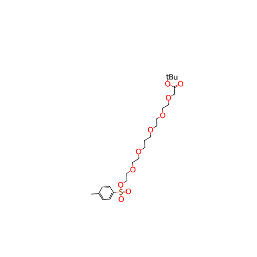 Cc1ccc(S(=O)(=O)OCCOCCOCCCOCCOCCOCC(=O)OC(C)(C)C)cc1